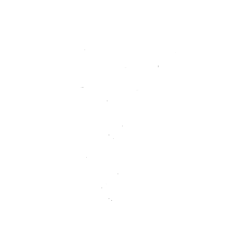 O=C(ON1C(=O)CNC1=O)N1CCN(C(c2ccc(Cl)cc2)c2ccc(Cl)cc2)CC1